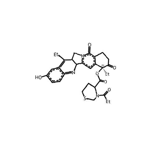 CCC(=O)N1CSCCC1C(=O)O[C@]1(CC)C(=O)CCc2c1cc1n(c2=O)CC2C(CC)=c3cc(O)ccc3=NC12